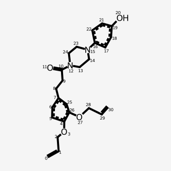 C=CCOc1ccc(CCC(=O)N2CCN(c3ccc(O)cc3)CC2)cc1OCC=C